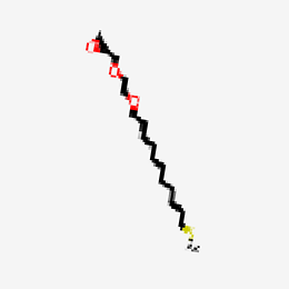 CC(=O)SCCCCCCCCCCCOCCOCC1CO1